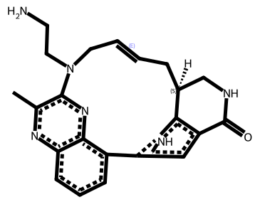 Cc1nc2cccc3c2nc1N(CCN)C/C=C/C[C@H]1CNC(=O)c2cc-3[nH]c21